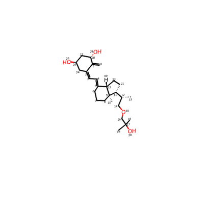 C=C1/C(=C\C=C2/CCC[C@]3(C)[C@@H]([C@H](C)COCC(C)(C)O)CC[C@@H]23)C[C@@H](O)C[C@@H]1O